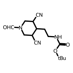 CC(C)(C)OC(=O)NCCC1C(C#N)CN(C=O)CC1C#N